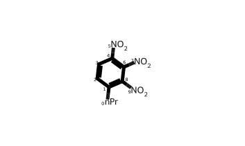 CCCc1ccc([N+](=O)[O-])c([N+](=O)[O-])c1[N+](=O)[O-]